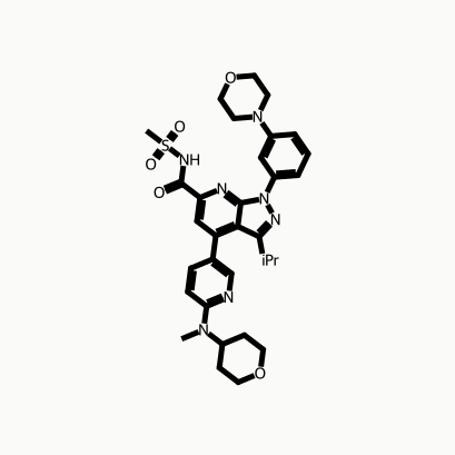 CC(C)c1nn(-c2cccc(N3CCOCC3)c2)c2nc(C(=O)NS(C)(=O)=O)cc(-c3ccc(N(C)C4CCOCC4)nc3)c12